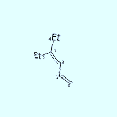 C=CC=C(CC)CC